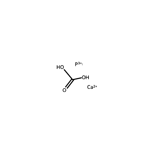 O=C(O)O.[Ca+2].[P+3]